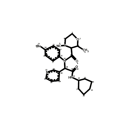 CC1OCCN(C#N)C1C(=O)N(c1ccc(C(C)(C)C)cc1)C(C(=O)NC1CCCCC1)c1cccnc1